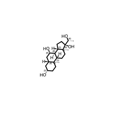 C[C@@H](O)[C@@]1(O)CC[C@H]2[C@@H]3[C@H](O)C[C@H]4C[C@@H](O)CC[C@]4(C)[C@H]3CC[C@@]21C